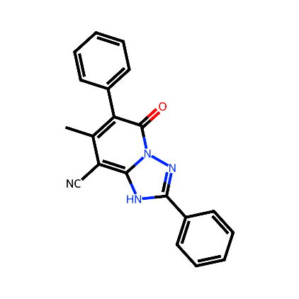 Cc1c(-c2ccccc2)c(=O)n2nc(-c3ccccc3)[nH]c2c1C#N